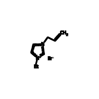 C=CCn1cc[n+](CC)c1.[Br-]